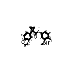 CBc1cc(NC(=O)C2(c3ccc4c(c3)OCO4)CC2)ccc1C